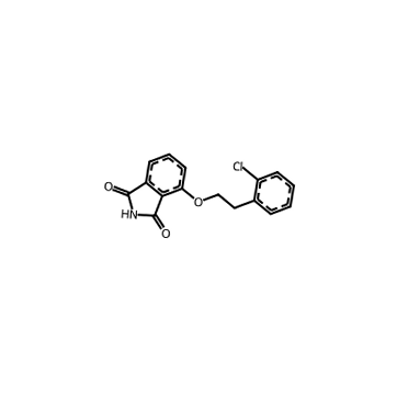 O=C1NC(=O)c2c(OCCc3ccccc3Cl)cccc21